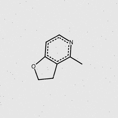 Cc1nccc2c1CCO2